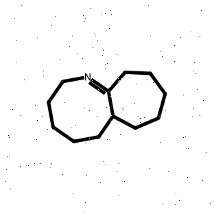 C1CC/N=C2/CCCCCC2CC1